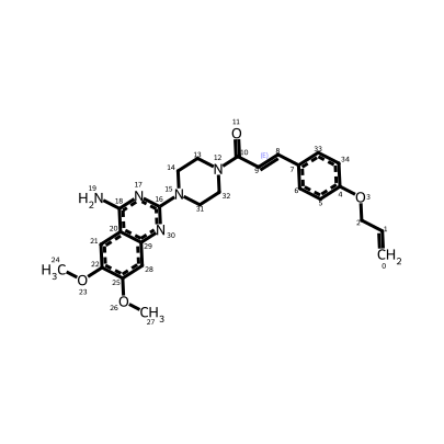 C=CCOc1ccc(/C=C/C(=O)N2CCN(c3nc(N)c4cc(OC)c(OC)cc4n3)CC2)cc1